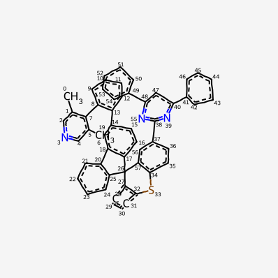 Cc1cncc(C)c1-c1ccccc1-c1ccc2c(c1)-c1ccccc1C21c2ccccc2Sc2ccc(-c3nc(-c4ccccc4)cc(-c4ccccc4)n3)cc21